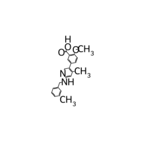 COc1ccc(-c2cnc(NCc3cccc(C)c3)cc2C)cc1C(=O)O